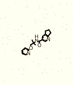 CC(C)(COc1ccccn1)NC(=O)c1cnc2c(c1)CCC2